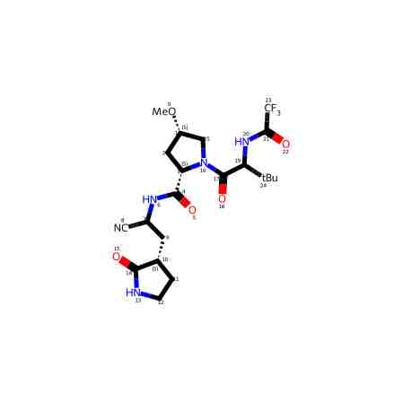 CO[C@H]1C[C@@H](C(=O)NC(C#N)C[C@@H]2CCNC2=O)N(C(=O)C(NC(=O)C(F)(F)F)C(C)(C)C)C1